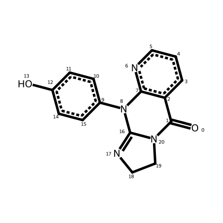 O=C1c2cccnc2N(c2ccc(O)cc2)C2=NCCN12